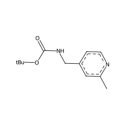 Cc1cc(CNC(=O)OC(C)(C)C)ccn1